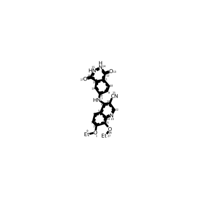 CCOc1ccc2c(Nc3ccc4c(=O)[nH][nH]c(=O)c4c3)c(C#N)cnc2c1OCC